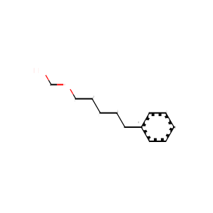 OCOCCCCCc1ccccc1